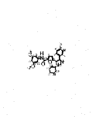 COc1cc(NC(=O)c2ccc(-c3c(-c4ccc(C)cc4)ncn3C3CCCCC3)o2)cc(OC)c1